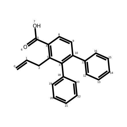 C=CCc1c(C(=O)O)ccc(-c2ccccc2)c1-c1ccccc1